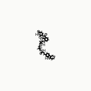 CC(C)(CNC(=O)CCc1ccc2c(c1)[nH]c1ccncc12)COCC(C)(C)CNc1cccc2c1C(=O)N(C1CCC(=O)NC1=O)C2=O